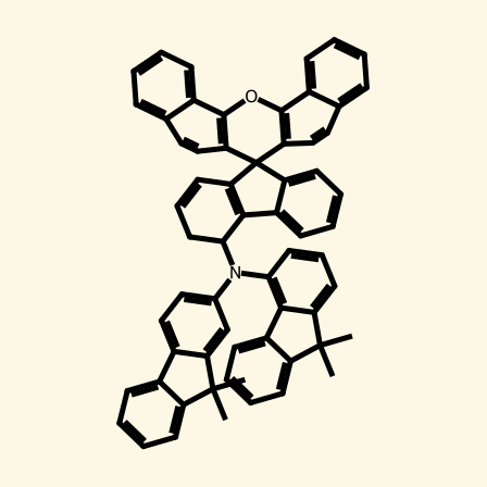 CC1(C)c2ccccc2-c2ccc(N(c3cccc4c3-c3ccccc3C4(C)C)C3CC=CC4=C3c3ccccc3C43c4ccc5ccccc5c4Oc4c3ccc3ccccc43)cc21